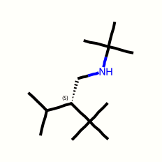 CC(C)[C@H](CNC(C)(C)C)C(C)(C)C